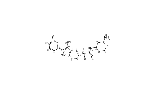 Cc1cc(-c2[nH]c3ccc(C(C)(C)C(=O)NC4CCCC(N)C4)cc3c2C(C)C)ccn1